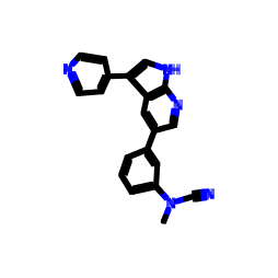 CN(C#N)c1cccc(-c2cnc3[nH]cc(-c4ccncc4)c3c2)c1